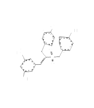 Cc1ccc(CS(=O)(=O)/C(=C/c2cc(C)cc(C)c2)Cc2ccc(Cl)cc2)cc1